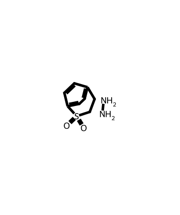 NN.O=S1(=O)CCc2ccc1cc2